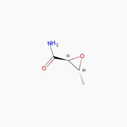 C[C@H]1O[C@@H]1C(N)=O